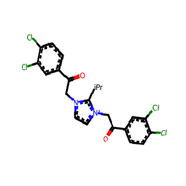 CC(C)c1n(CC(=O)c2ccc(Cl)c(Cl)c2)cc[n+]1CC(=O)c1ccc(Cl)c(Cl)c1